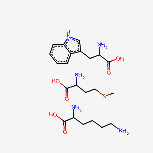 CSCCC(N)C(=O)O.NC(Cc1c[nH]c2ccccc12)C(=O)O.NCCCCC(N)C(=O)O